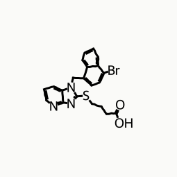 O=C(O)CCCSc1nc2ncccc2n1Cc1ccc(Br)c2ccccc12